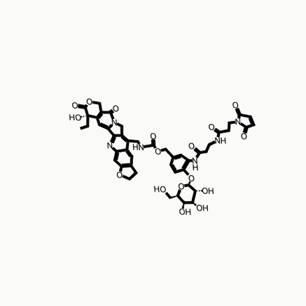 CC[C@@]1(O)C(=O)OCc2c1cc1n(c2=O)Cc2c-1nc1cc3c(cc1c2CNC(=O)OCc1ccc(O[C@@H]2O[C@H](CO)[C@H](O)[C@H](O)[C@H]2O)c(NC(=O)CCNC(=O)CCN2C(=O)C=CC2=O)c1)CCO3